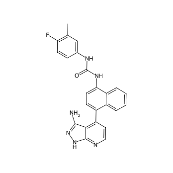 Cc1cc(NC(=O)Nc2ccc(-c3ccnc4[nH]nc(N)c34)c3ccccc23)ccc1F